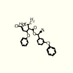 CC(C)C(C(=O)OC(C#N)c1cccc(Oc2ccccc2)c1)C(C=C(Cl)Cl)Oc1ccccc1